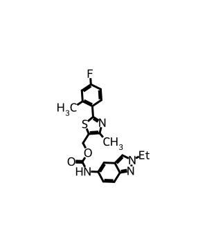 CCn1cc2cc(NC(=O)OCc3sc(-c4ccc(F)cc4C)nc3C)ccc2n1